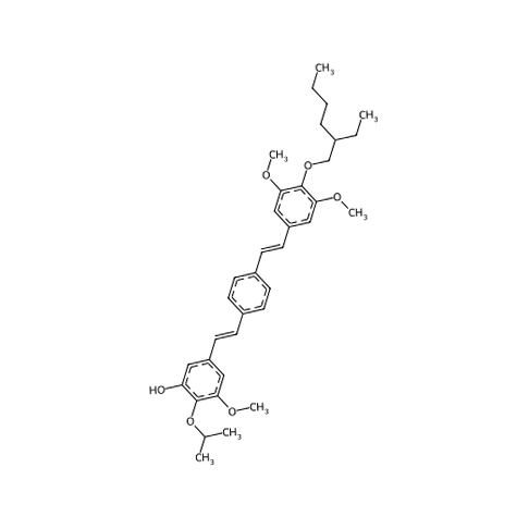 CCCCC(CC)COc1c(OC)cc(/C=C/c2ccc(/C=C/c3cc(O)c(OC(C)C)c(OC)c3)cc2)cc1OC